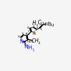 CCCC/C(C)=C/c1ccc(-c2ccnc(N)c2C)s1